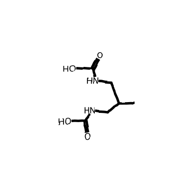 CC(CNC(=O)O)CNC(=O)O